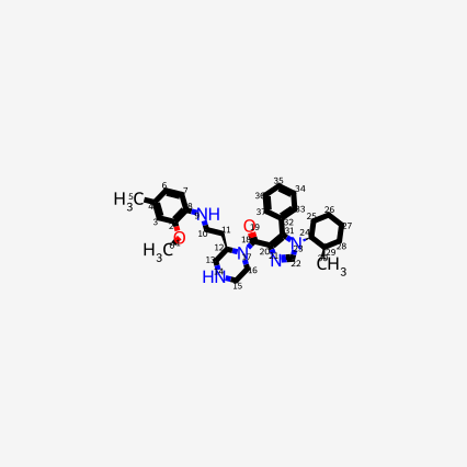 COc1cc(C)ccc1NCC[C@@H]1CNCCN1C(=O)c1ncn([C@@H]2CCCC[C@H]2C)c1-c1ccccc1